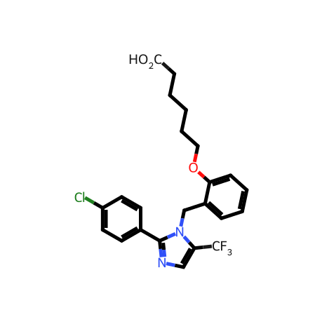 O=C(O)CCCCCOc1ccccc1Cn1c(C(F)(F)F)cnc1-c1ccc(Cl)cc1